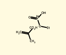 C=C(C)C(=O)O.CCO[PH](=O)O